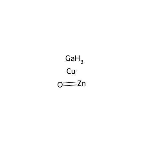 [Cu].[GaH3].[O]=[Zn]